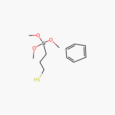 CO[Si](CCCS)(OC)OC.c1ccccc1